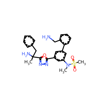 CN(c1cc(-c2nnc(C(C)(N)Cc3ccccc3)o2)cc(-c2ccccc2CN)c1)S(C)(=O)=O